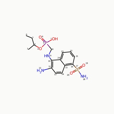 CCC(C)OP(=O)(O)CNc1c(N)ccc2c(S(N)(=O)=O)cccc12